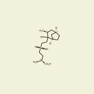 C[C@H]1C[C@H]2CC[C@H](C2)C1(O)CCS(=N)(=O)CC[C@H](N)C(=O)O